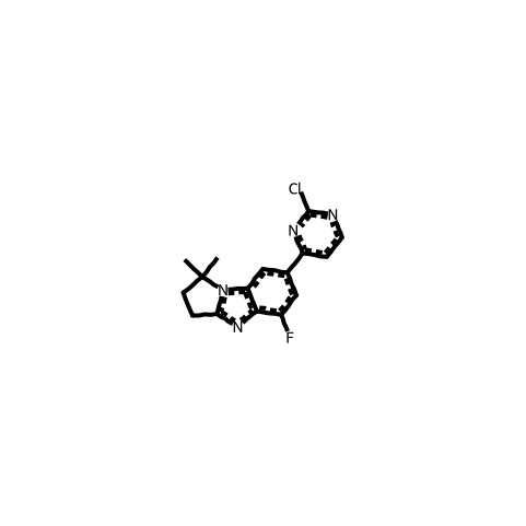 CC1(C)CCc2nc3c(F)cc(-c4ccnc(Cl)n4)cc3n21